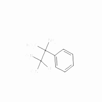 CCCC([N+](=O)[O-])([N+](=O)[O-])C(N)(C(=O)O)c1ccccc1